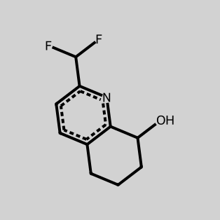 OC1CCCc2ccc(C(F)F)nc21